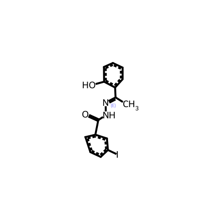 C/C(=N\NC(=O)c1cccc(I)c1)c1ccccc1O